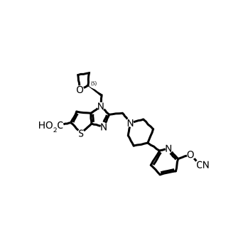 N#COc1cccc(C2CCN(Cc3nc4sc(C(=O)O)cc4n3C[C@@H]3CCO3)CC2)n1